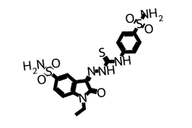 CCN1C(=O)C(=NNC(=S)Nc2ccc(S(N)(=O)=O)cc2)c2cc(S(N)(=O)=O)ccc21